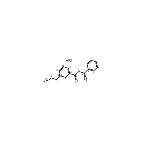 Br.O=C(CC(=O)c1ccccc1)C1=CC=CN(CCO)C1